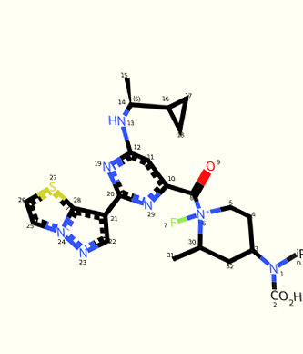 CC(C)N(C(=O)O)C1CC[N+](F)(C(=O)c2cc(N[C@@H](C)C3CC3)nc(-c3cnn4ccsc34)n2)C(C)C1